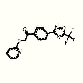 O=C(CSc1ccccn1)c1ccc(-c2noc(C(F)(F)F)n2)cc1